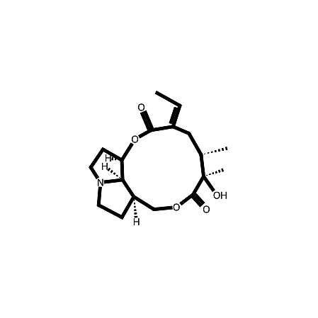 C/C=C1/C[C@H](C)[C@@](C)(O)C(=O)OC[C@H]2CCN3CC[C@@H](OC1=O)[C@@H]23